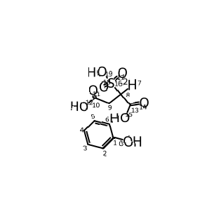 Oc1ccccc1.[2H]C(CC(=O)O)(C(=O)O)S(=O)(=O)O